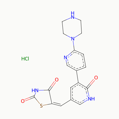 Cl.O=C1NC(=O)/C(=C\c2c[nH]c(=O)c(-c3ccc(N4CCNCC4)nc3)c2)S1